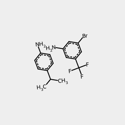 CC(C)c1ccc(N)cc1.Nc1cc(Br)cc(C(F)(F)F)c1